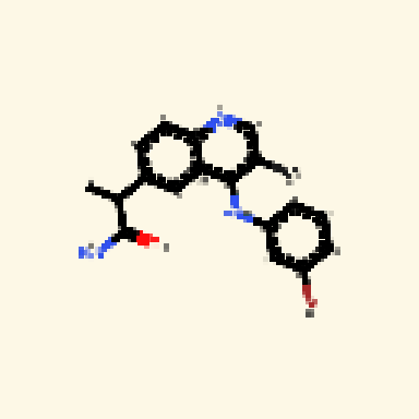 CC(C(N)=O)c1ccc2ncc(C#N)c(Nc3cccc(Br)c3)c2c1